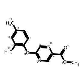 COC(=O)c1cnc(Oc2ccc(C)cc2C)cn1